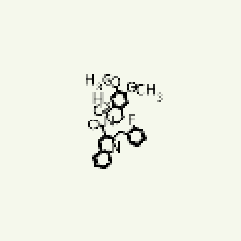 COc1cc2c(cc1OC)[C@@H](C)N(C(=O)c1cc3ccccc3nc1Cc1ccccc1F)CC2